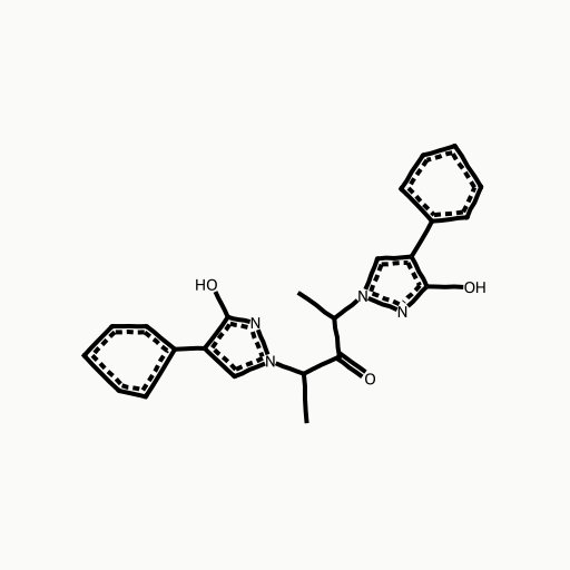 CC(C(=O)C(C)n1cc(-c2ccccc2)c(O)n1)n1cc(-c2ccccc2)c(O)n1